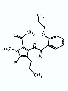 CCCOc1ccccc1C(=O)Nc1c(CCC)c(Br)n(C)c1C(N)=O